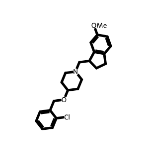 COc1ccc2c(c1)C(CN1CCC(OCc3ccccc3Cl)CC1)CC2